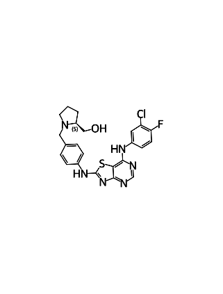 OC[C@@H]1CCCN1Cc1ccc(Nc2nc3ncnc(Nc4ccc(F)c(Cl)c4)c3s2)cc1